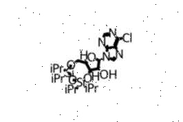 CC(C)[Si]1(C(C)C)OC[C@H]2O[C@@H](n3cnc4c(Cl)ncnc43)[C@@H](O)[C@H]2O[Si](C(C)C)(C(C)C)O1